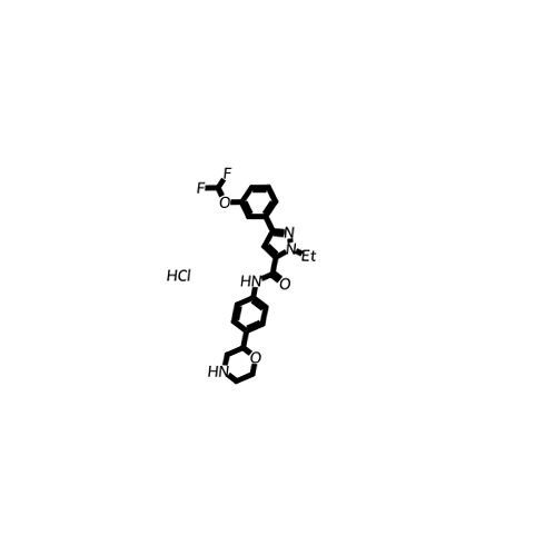 CCn1nc(-c2cccc(OC(F)F)c2)cc1C(=O)Nc1ccc(C2CNCCO2)cc1.Cl